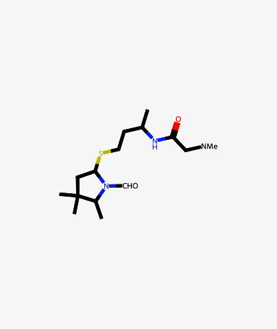 CNCC(=O)NC(C)CCSC1CC(C)(C)C(C)N1C=O